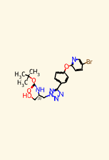 CC(C)(C)OC(=O)N[C@H](CO)Cn1nnc(-c2ccc(Oc3ccc(Br)cn3)cc2)n1